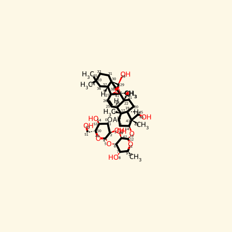 CC(=O)O[C@@H]1[C@@H](O)[C@H](O[C@H]2[C@@H](O)[C@@H](C)O[C@@H](O[C@H]3CC[C@@]4(C)[C@@H](CC[C@]5(C)[C@@H]4C=C[C@]46OC[C@@]7(CCC(C)(C)C[C@H]74)[C@H](O)C[C@]65C)[C@]3(C)CO)[C@@H]2O)O[C@H](CO)[C@H]1O